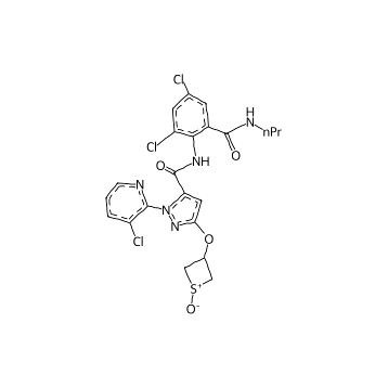 CCCNC(=O)c1cc(Cl)cc(Cl)c1NC(=O)c1cc(OC2C[S+]([O-])C2)nn1-c1ncccc1Cl